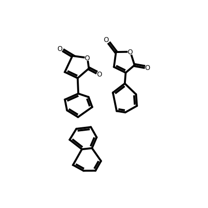 O=C1C=C(c2ccccc2)C(=O)O1.O=C1C=C(c2ccccc2)C(=O)O1.c1ccc2ccccc2c1